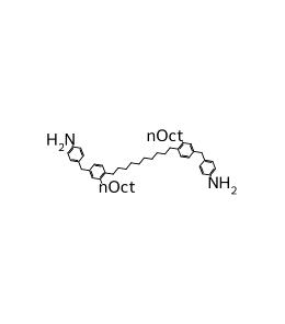 CCCCCCCCc1cc(Cc2ccc(N)cc2)ccc1CCCCCCCCCCc1ccc(Cc2ccc(N)cc2)cc1CCCCCCCC